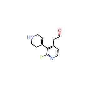 O=CCc1ccnc(F)c1C1=CCNCC1